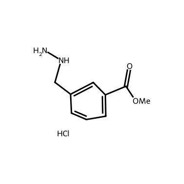 COC(=O)c1cccc(CNN)c1.Cl